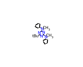 CN(c1ccccc1)c1nc(N(C)c2ccccc2)nc(C(C)(C)C)n1